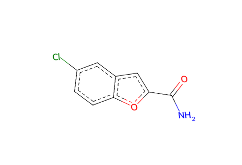 NC(=O)c1cc2cc(Cl)ccc2o1